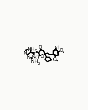 COc1cc(OC)c(CCC2(C3CCCC3)CC(=O)C(Sc3nc(N)nc4nc[nH]c34)C(=O)O2)cc1Cl